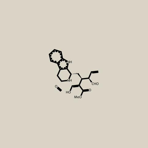 C=C[C@@H](C=O)[C@H](C[C@@H]1NCCc2c1[nH]c1ccccc21)/C(=C/O)C(=O)OC.C=O